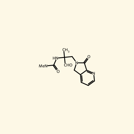 CNC(=O)NC(C)(C=O)CN1Cc2cccnc2C1=O